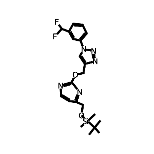 CC(C)(C)[Si](C)(C)OCc1ccnc(OCc2cn(-c3cccc(C(F)F)c3)nn2)n1